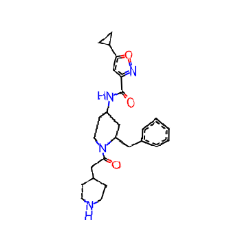 O=C(NC1CCN(C(=O)CC2CCNCC2)C(Cc2ccccc2)C1)c1cc(C2CC2)on1